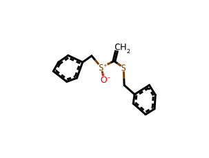 C=C(SCc1ccccc1)[S+]([O-])Cc1ccccc1